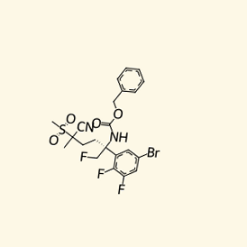 CC(C#N)(CC[C@](CF)(NC(=O)OCc1ccccc1)c1cc(Br)cc(F)c1F)S(C)(=O)=O